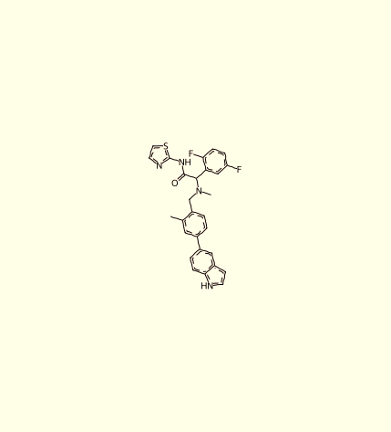 Cc1cc(-c2ccc3[nH]ccc3c2)ccc1CN(C)C(C(=O)Nc1nccs1)c1cc(F)ccc1F